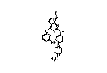 CN1CCN(c2ccc(Nc3nc(Oc4cccc(N)c4)c4ccn(SF)c4n3)cn2)CC1